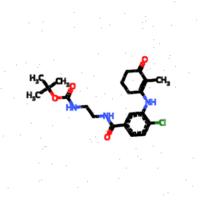 CC1=C(Nc2cc(C(=O)NCCNC(=O)OC(C)(C)C)ccc2Cl)CCCC1=O